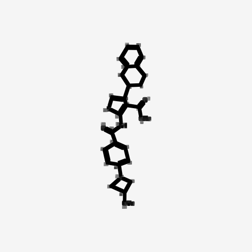 COC(=O)c1c(C2CCc3ccccc3C2)csc1NC(=O)c1ccc(N2CC(OC)C2)cc1